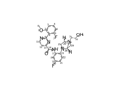 COc1cccc(F)c1-c1nccc(C(=O)Nc2cc(F)ccc2N2C[C@H]3C[C@@H]2CN3CCO)n1